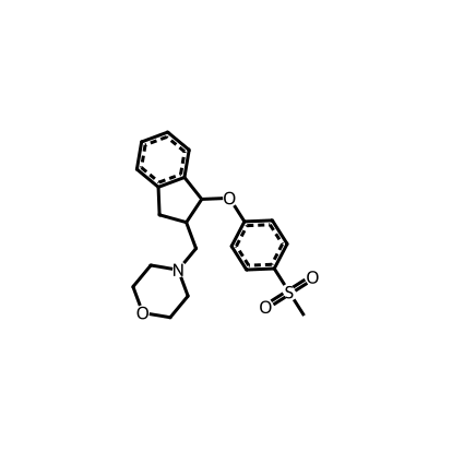 CS(=O)(=O)c1ccc(OC2c3ccccc3CC2CN2CCOCC2)cc1